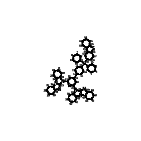 c1ccc([Si](c2ccccc2)(c2ccc(-c3cc(-n4c5ccccc5n5c6ccccc6nc45)nc(-n4c5ccccc5n5c6ccccc6nc45)c3)cc2)c2ccc3sc4ccccc4c3c2)cc1